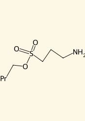 CC(C)COS(=O)(=O)CCCN